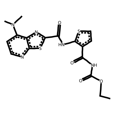 CCOC(=O)NC(=O)c1ccsc1NC(=O)c1nc2c(N(C)C)ccnc2s1